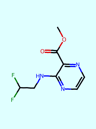 COC(=O)c1nccnc1NCC(F)F